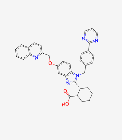 O=C(O)C1CCCC[C@H]1c1nc2cc(OCc3ccc4ccccc4n3)ccc2n1Cc1ccc(-c2ncccn2)cc1